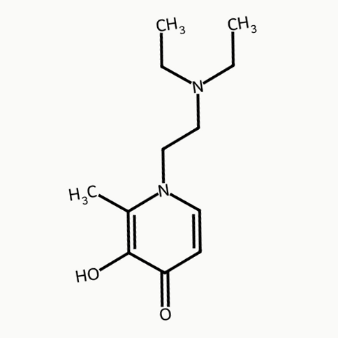 CCN(CC)CCn1ccc(=O)c(O)c1C